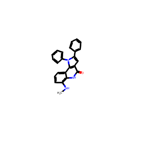 CNc1cccc2c1[nH]c(=O)c1cc(-c3ccccc3)n(-c3ccccc3)c12